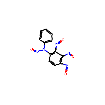 O=Nc1ccc(N(N=O)c2ccccc2)c(N=O)c1N=O